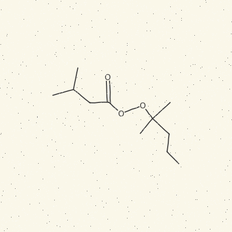 CCCC(C)(C)OOC(=O)CC(C)C